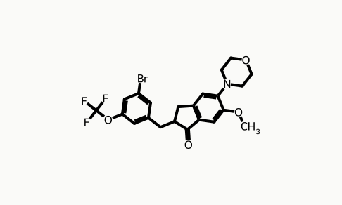 COc1cc2c(cc1N1CCOCC1)CC(Cc1cc(Br)cc(OC(F)(F)F)c1)C2=O